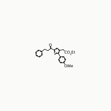 CCOC(=O)Cc1cc(C(=O)CCc2ccccc2)sc1-c1ccc(OC)cc1